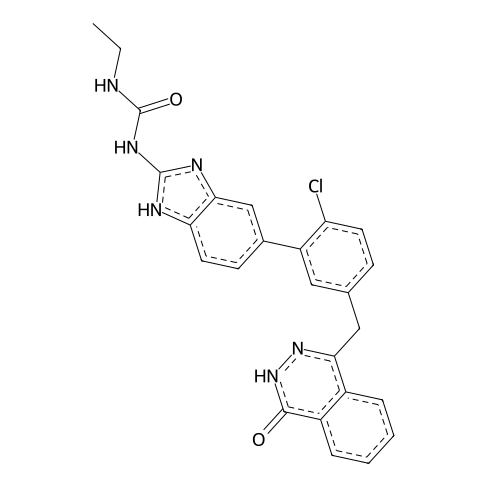 CCNC(=O)Nc1nc2cc(-c3cc(Cc4n[nH]c(=O)c5ccccc45)ccc3Cl)ccc2[nH]1